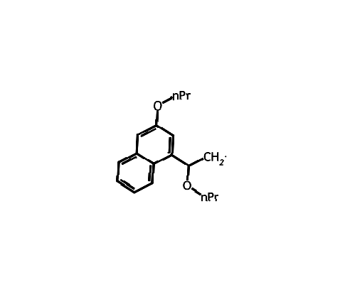 [CH2]C(OCCC)c1cc(OCCC)cc2ccccc12